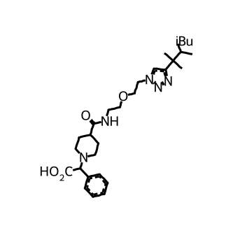 CCC(C)C(C)C(C)(C)c1cn(CCOCCNC(=O)C2CCN(C(C(=O)O)c3ccccc3)CC2)nn1